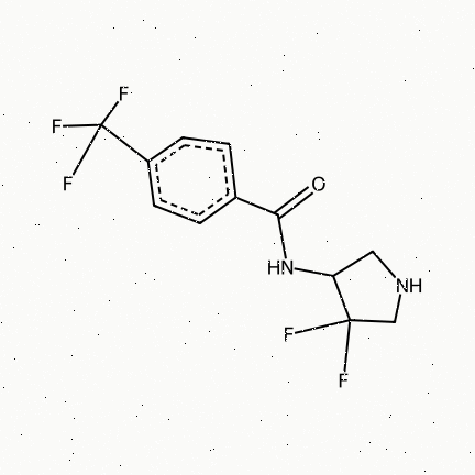 O=C(NC1CNCC1(F)F)c1ccc(C(F)(F)F)cc1